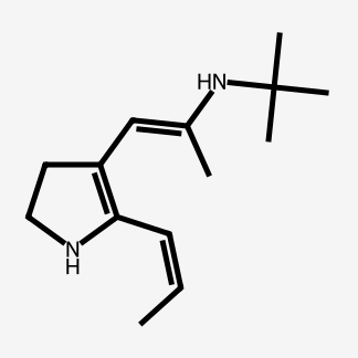 C/C=C\C1=C(/C=C(\C)NC(C)(C)C)CCN1